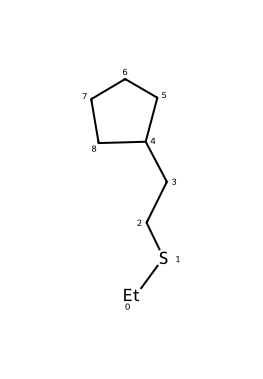 CCSCCC1CCCC1